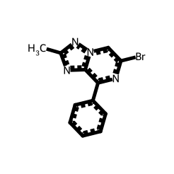 Cc1nc2c(-c3ccccc3)nc(Br)cn2n1